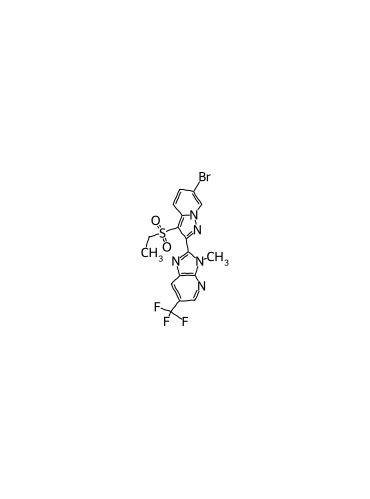 CCS(=O)(=O)c1c(-c2nc3cc(C(F)(F)F)cnc3n2C)nn2cc(Br)ccc12